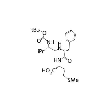 CSCC[C@H](NC(=O)[C@H](Cc1ccccc1)NC[C@@H](NC(=O)OC(C)(C)C)C(C)C)C(=O)O